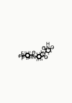 O=C1CCC(N2Cc3cc(NC(=O)c4ccc(C(F)(F)F)cc4)ccc3C2=O)C(=O)N1